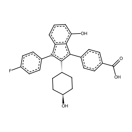 O=C(O)c1ccc(-c2c3c(O)cccc3n(-c3ccc(F)cc3)c2[C@H]2CC[C@H](O)CC2)cc1